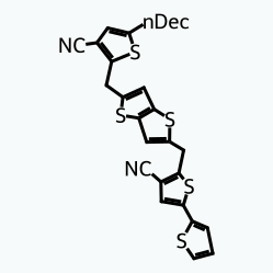 CCCCCCCCCCc1cc(C#N)c(Cc2cc3sc(Cc4sc(-c5cccs5)cc4C#N)cc3s2)s1